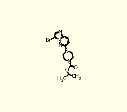 CC(C)OC(=O)N1CCN(c2ccc3ncc(Br)n3n2)CC1